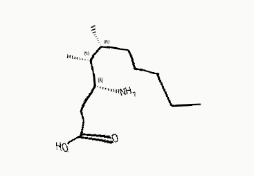 CCCCC[C@@H](C)[C@@H](C)[C@H](N)CC(=O)O